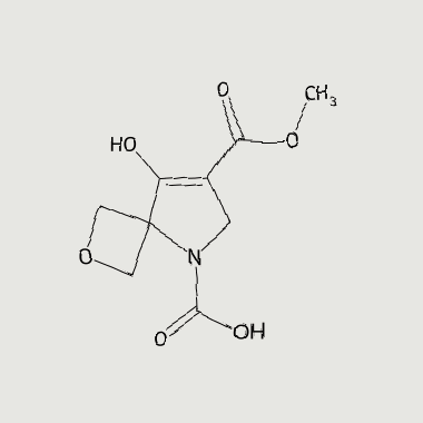 COC(=O)C1=C(O)C2(COC2)N(C(=O)O)C1